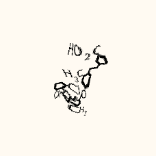 Cc1cc(COc2ccc(C=Cc3cccc(C(=O)O)c3)c(C)c2)n(-c2c(Cl)cccc2Cl)n1